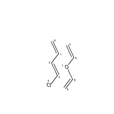 C=CC=CCl.C=COC=C